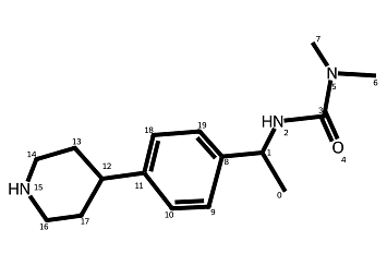 CC(NC(=O)N(C)C)c1ccc(C2CCNCC2)cc1